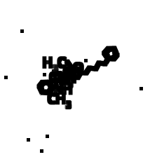 CCC(=O)OC(CCCCCc1ccccc1)CNCC(=O)Nc1c(C)cccc1C